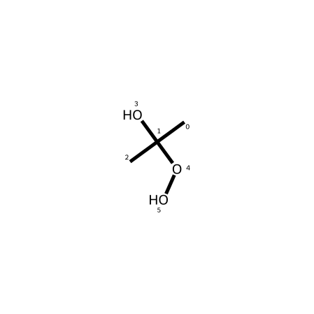 CC(C)(O)OO